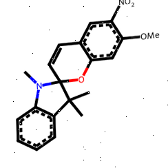 COc1cc2c(cc1[N+](=O)[O-])C=CC1(O2)N(C)c2ccccc2C1(C)C